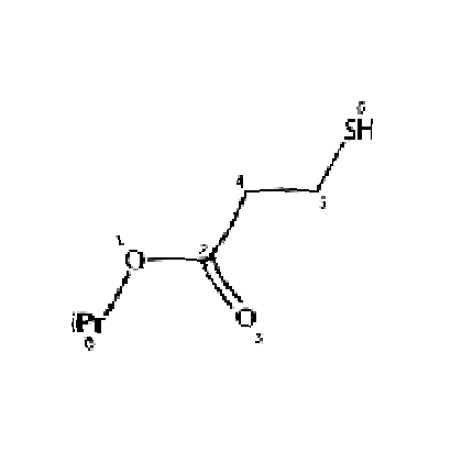 CC(C)OC(=O)CCS